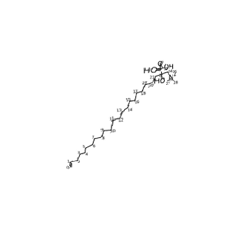 C=CCCCCCCCCCCCCCCCCCCCCC(O)(C[N+](C)(C)C)P(=O)(O)O